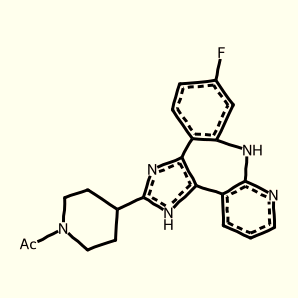 CC(=O)N1CCC(c2nc3c([nH]2)-c2cccnc2Nc2cc(F)ccc2-3)CC1